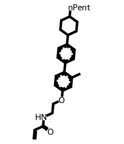 C=CC(=O)NCCOc1ccc(-c2ccc(C3CCC(CCCCC)CC3)cc2)c(C)c1